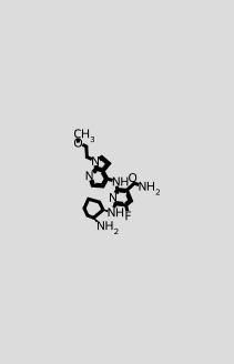 COCCn1ccc2c(Nc3nc(N[C@@H]4CCCC[C@@H]4N)c(F)cc3C(N)=O)ccnc21